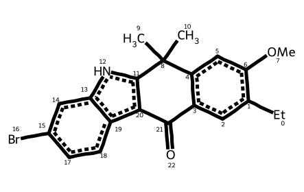 CCc1cc2c(cc1OC)C(C)(C)c1[nH]c3cc(Br)ccc3c1C2=O